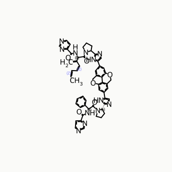 C=C(/C=C\C=C/C)[C@@H](NC(=O)c1ccncn1)C(=O)N1CCCC1c1ncc(-c2cc3c4c(c2)OCc2cc(-c5cnc([C@@H]6CCCN6C(=O)[C@H](NC(=O)c6ccncn6)c6ccccc6)[nH]5)cc(c2-4)OC3)[nH]1